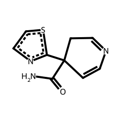 NC(=O)C1(c2nccs2)C=CN=CC1